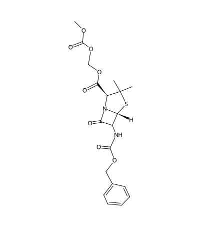 COC(=O)OCOC(=O)[C@@H]1N2C(=O)C(NC(=O)OCc3ccccc3)[C@H]2SC1(C)C